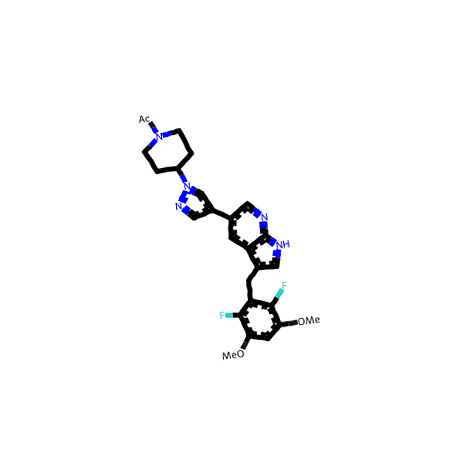 COc1cc(OC)c(F)c(Cc2c[nH]c3ncc(-c4cnn(C5CCN(C(C)=O)CC5)c4)cc23)c1F